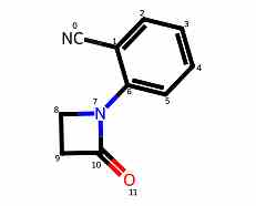 N#Cc1ccccc1N1CCC1=O